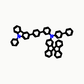 c1ccc(-c2ccc(N(c3cccc(-c4ccc(-c5ccc6c(c5)c5ccccc5n6-c5ccccc5)cc4)c3)c3ccc4c(c3)C3(c5ccccc5-c5ccccc53)c3ccccc3-4)cc2)cc1